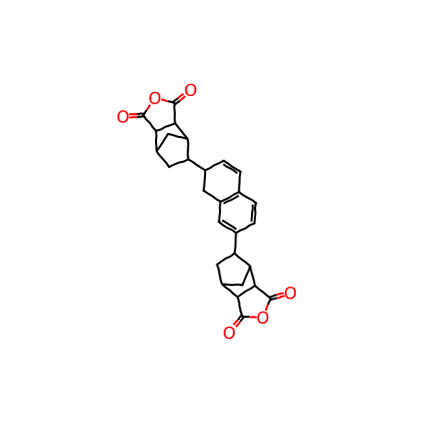 O=C1OC(=O)C2C3CC(CC3c3ccc4c(c3)CC(C3CC5CC3C3C(=O)OC(=O)C53)C=C4)C12